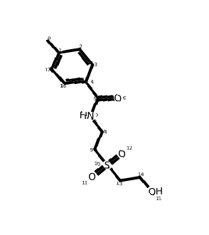 Cc1ccc(C(=O)NCCS(=O)(=O)CCO)cc1